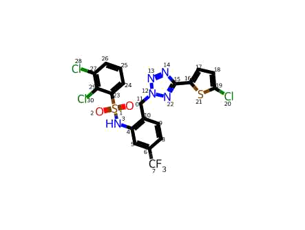 O=S(=O)(Nc1cc(C(F)(F)F)ccc1Cn1nnc(-c2ccc(Cl)s2)n1)c1cccc(Cl)c1Cl